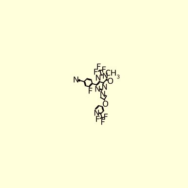 Cn1c(C(F)(F)F)nc2c(-c3ccc(C#N)cc3F)nc(N3CC(Oc4ccnc(C(F)(F)F)c4)C3)nc2c1=O